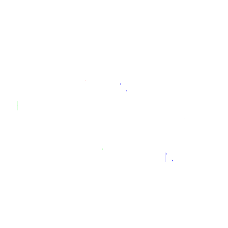 Cc1ncccc1CN(CC(=O)O)S(=O)(=O)c1c(F)c(F)c(F)c(F)c1Cl